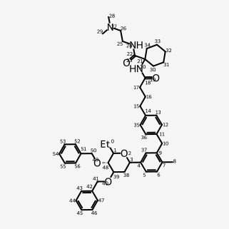 CCC1OC(c2ccc(C)c(Cc3ccc(CCCC(=O)NC4(C(=O)NCCN(C)C)CCCCC4)cc3)c2)CC(OCc2ccccc2)[C@@H]1OCc1ccccc1